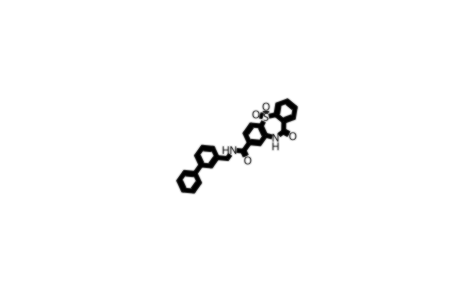 O=C(NCc1cccc(-c2ccccc2)c1)c1ccc2c(c1)NC(=O)c1ccccc1S2(=O)=O